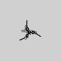 CCCCCCOc1ccc(-c2nc(-c3ccc(OCCCCCC)c(C)c3C)nc(-c3ccc(OCCCCCC)c(C)c3O)n2)cc1C